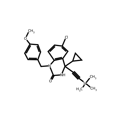 COc1ccc(CN2C(=O)NC(C#C[Si](C)(C)C)(C3CC3)c3cc(Cl)ccc32)cc1